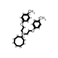 Cc1ccc(OCCN(CCOc2ccc(C)cc2)C2CCCCCCC2)cc1